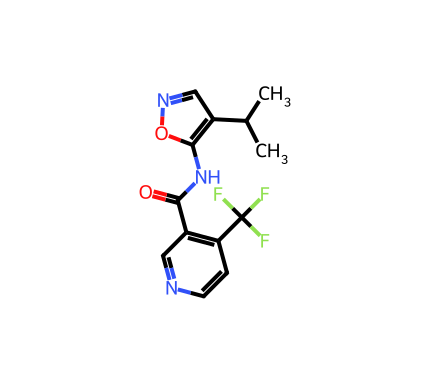 CC(C)c1cnoc1NC(=O)c1cnccc1C(F)(F)F